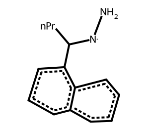 CCCC([N]N)c1cccc2ccccc12